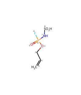 C=CCOP(=O)(F)NS(=O)(=O)O